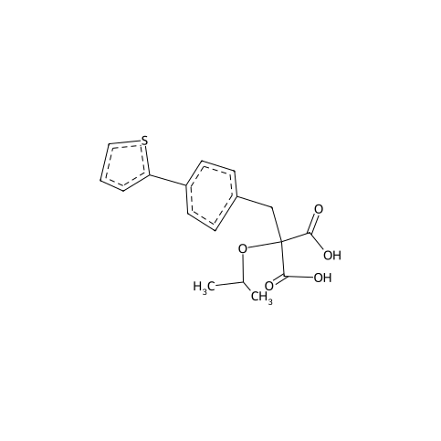 CC(C)OC(Cc1ccc(-c2cccs2)cc1)(C(=O)O)C(=O)O